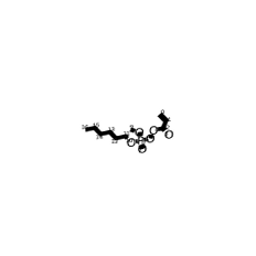 C=CC(=O)OOP(=O)(OC)OCCCCCC